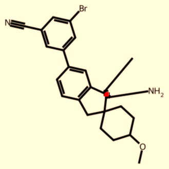 COC1CCC2(CC1)Cc1ccc(-c3cc(Br)cc(C#N)c3)cc1C21N=C(C)C(N)=N1